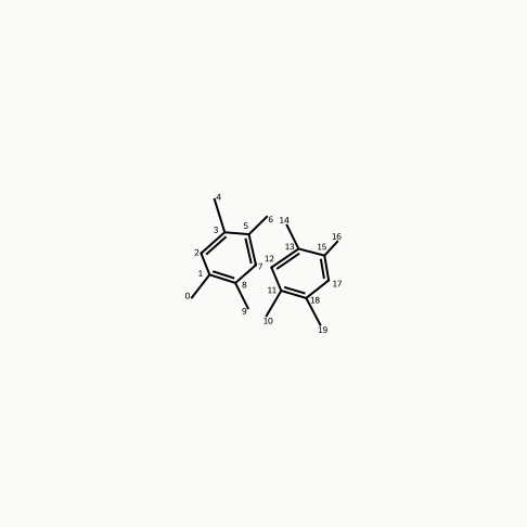 Cc1cc(C)c(C)cc1C.Cc1cc(C)c(C)cc1C